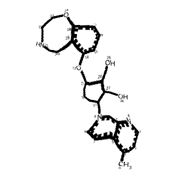 Cc1ccnc2c1ccn2C1CC(Oc2cccc3c2CNCCO3)C(O)C1O